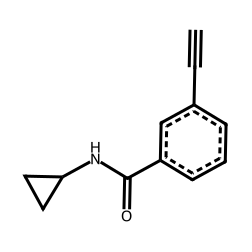 C#Cc1cccc(C(=O)NC2CC2)c1